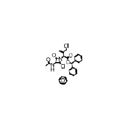 C=C(CCl)C(C(=O)OC(c1ccccc1)c1ccccc1)N1C(=O)C(NC(C)=O)C1Cl.c1cc2cc(c1)O2